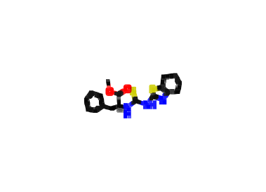 COC(=O)[C@H](Cc1ccccc1)NC(=S)Nc1nc2ccccc2s1